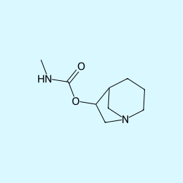 CNC(=O)OC1CN2CCCC1C2